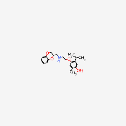 Cc1cc(OCCNCC2COc3ccccc3O2)c(C(C)C)cc1O